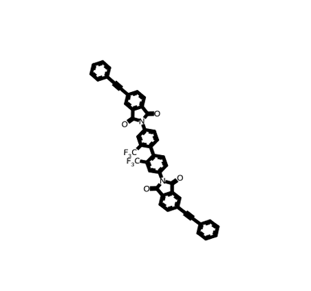 O=C1c2ccc(C#Cc3ccccc3)cc2C(=O)N1c1ccc(-c2ccc(N3C(=O)c4ccc(C#Cc5ccccc5)cc4C3=O)cc2C(F)(F)F)c(C(F)(F)F)c1